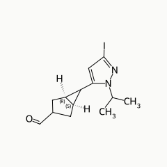 CC(C)n1nc(I)cc1C1[C@H]2CC(C=O)C[C@@H]12